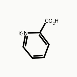 O=C(O)c1ccccn1.[K]